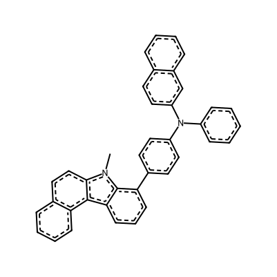 Cn1c2ccc3ccccc3c2c2cccc(-c3ccc(N(c4ccccc4)c4ccc5ccccc5c4)cc3)c21